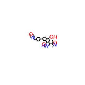 Cc1noc(C)c1-c1c[nH]c(=O)c2c1cc(CO)c1ccc(-c3ccc(CN4CCOCC4)cc3)cc12